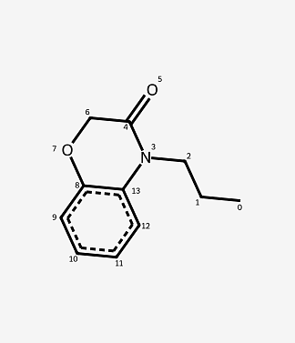 CCCN1C(=O)COc2ccccc21